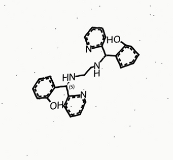 Oc1ccccc1C(NCCN[C@H](c1ccccn1)c1ccccc1O)c1ccccn1